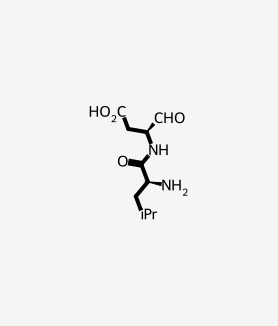 CC(C)C[C@H](N)C(=O)N[C@H](C=O)CC(=O)O